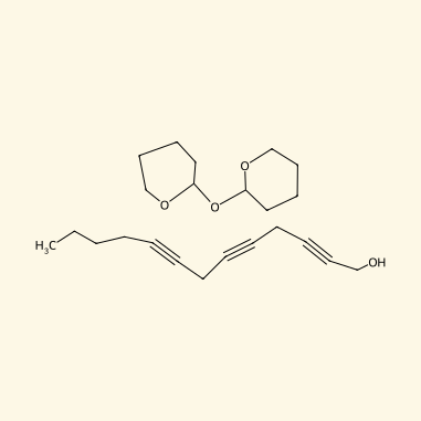 C1CCC(OC2CCCCO2)OC1.CCCCC#CCC#CCC#CCO